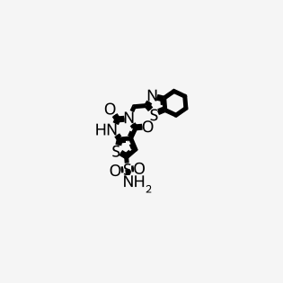 NS(=O)(=O)c1cc2c(=O)n(Cc3nc4c(s3)CCCC4)c(=O)[nH]c2s1